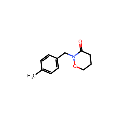 Cc1ccc(CN2OCCCC2=O)cc1